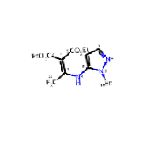 CCOC(=O)C(C(=O)OCC)=C(Nc1ccnn1CC)C(F)(F)F